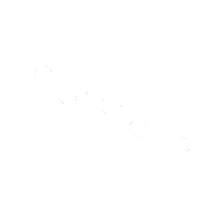 COC(=O)C(Cc1ccc(OCc2ccccc2)cc1)NC(=O)c1cc2cc(-c3ccc(Cl)cc3)ccc2o1